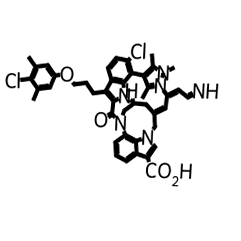 CC(=C/C=N)/C=C1\C[C@@H]2CN(C(=O)c3c(CCCOc4cc(C)c(Cl)c(C)c4)c4ccc(Cl)c(-c5c(C)nn(C)c5C)c4n32)c2cccc3c(C(=O)O)cn(c23)C1